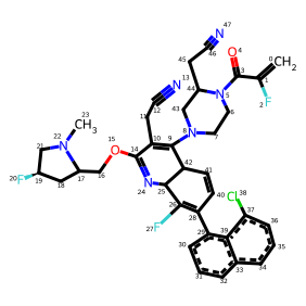 C=C(F)C(=O)N1CCN(C2=C(CC#N)C(OCC3C[C@@H](F)CN3C)=NC3C(F)=C(c4cccc5cccc(Cl)c45)C=CC23)CC1CC#N